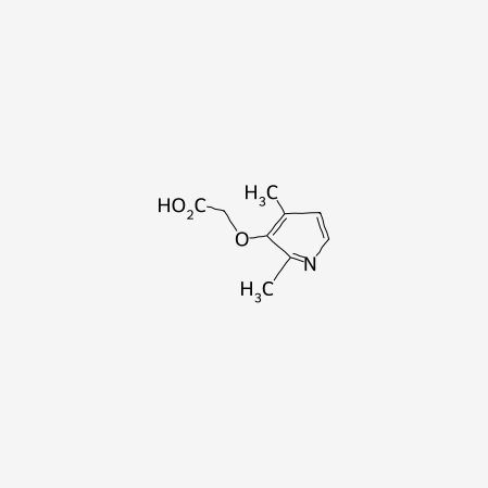 Cc1ccnc(C)c1OCC(=O)O